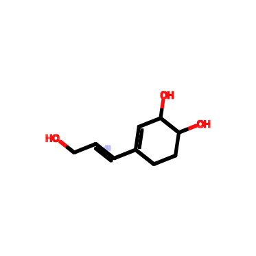 OC/C=C/C1=CC(O)C(O)CC1